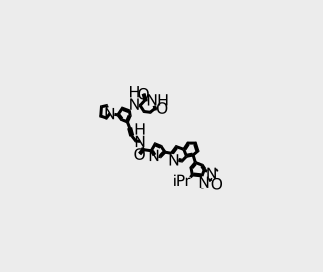 CC(C)c1cc(-c2cccc3cc(-c4ccc(C(=O)NCC#Cc5cc(NC6CCC(=O)NC6=O)cc(N6CCCC6)c5)nc4)ncc23)cc2c1n(C)c(=O)n2C